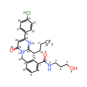 O=C(NCCCO)c1cccc(Cn2c(CCCC(F)(F)F)nc(-c3ccc(Cl)cc3)cc2=O)c1